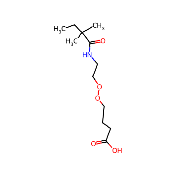 CCC(C)(C)C(=O)NCCOOCCCC(=O)O